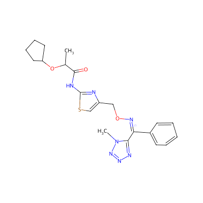 CC(OC1CCCC1)C(=O)Nc1nc(CO/N=C(/c2ccccc2)c2nnnn2C)cs1